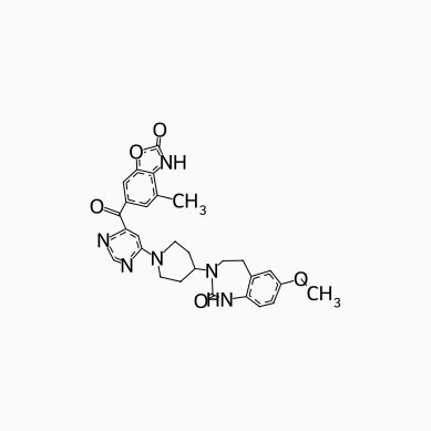 COc1ccc2c(c1)CCN(C1CCN(c3cc(C(=O)c4cc(C)c5[nH]c(=O)oc5c4)ncn3)CC1)C(=O)N2